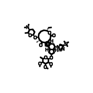 CC[C@H]1CCC[C@H](O[C@H]2CC[C@H](N(C)C)C(C)O2)[C@@H](C)C(=O)C2=C[C@@H]3[C@@H](C[C@@H](n4cc([Si](C)(C)C)nn4)[C@@H]4C[C@@H](O[C@@H]5OC(C)[C@H](OC)C(OC)C5OC)C[C@@H]34)[C@@H]2CC(=O)O1